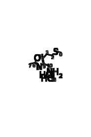 CSCCc1oc(C)nc1CN.Cl.Cl